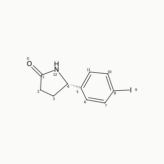 O=C1CC[C@@H](c2ccc(I)cc2)N1